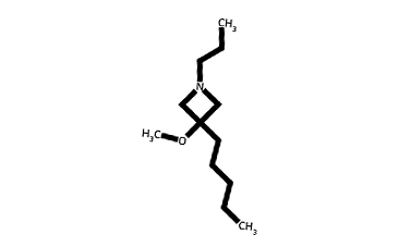 CCCCCC1(OC)CN(CCC)C1